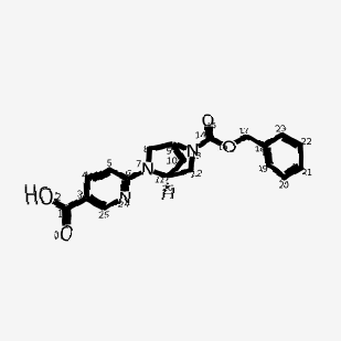 O=C(O)c1ccc(N2CC3C[C@H]2CN3C(=O)OCc2ccccc2)nc1